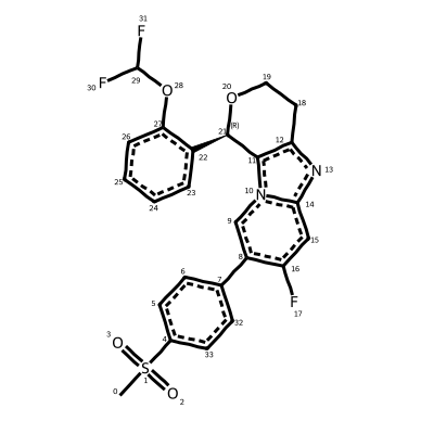 CS(=O)(=O)c1ccc(-c2cn3c4c(nc3cc2F)CCO[C@@H]4c2ccccc2OC(F)F)cc1